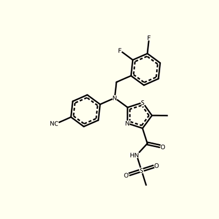 Cc1sc(N(Cc2cccc(F)c2F)c2ccc(C#N)cc2)nc1C(=O)NS(C)(=O)=O